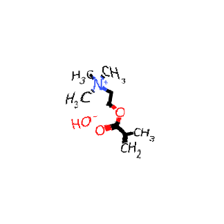 C=C(C)C(=O)OCC[N+](C)(C)C.[OH-]